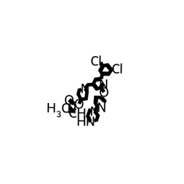 CN(C)C(=O)OC1CCN(Cc2cc(Oc3ccc(N4CCNCC4)nc3)nc(-c3cc(Cl)cc(Cl)c3)c2)CC1